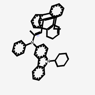 CCC1=C(/C=C(\C)N(c2ccccc2)c2ccc3c(c2)c2ccccc2n3C2CCCCC2)c2c3cccc2-c2cccc1c2C1=C3CCC=C1